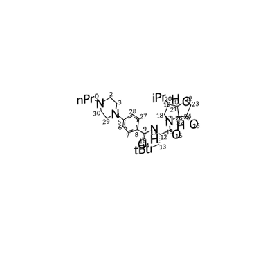 CCCN1CCN(c2ccc(C(=O)N[C@@H](CC(C)(C)C)C(=O)N3C[C@@H](C(C)C)[C@H]4OCC(=O)[C@H]43)cc2)CC1